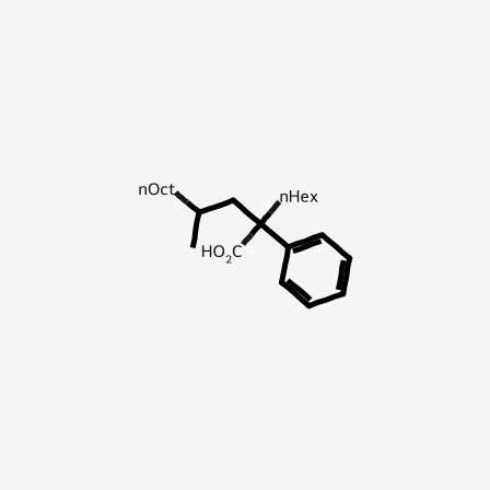 CCCCCCCCC(C)CC(CCCCCC)(C(=O)O)c1ccccc1